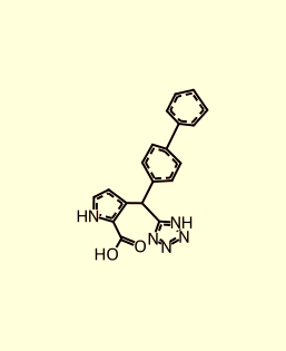 O=C(O)c1[nH]ccc1C(c1ccc(-c2ccccc2)cc1)c1nnn[nH]1